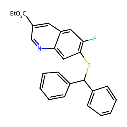 CCOC(=O)c1cnc2cc(SC(c3ccccc3)c3ccccc3)c(F)cc2c1